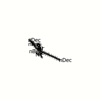 C=C[CH2][Ni][CH2]C=C.CCCCCCCCCCCCCCCCCCCCCCCCCCc1cccc(C2=C(CCCC)C(CCCCCCCCCCCCCCCCCCC)=C(c3cccc(CCCC)c3)[N+]2=[N-])c1